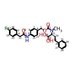 CN(C(=O)OCc1ccc(NC(=O)Cc2ccc(F)cc2)cc1)[C@@H](CCc1ccccc1)C(O)O